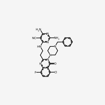 N#Cc1c(N)nc(N)nc1NCCc1nc2c(F)ccc(Cl)c2c(=O)n1N1CCN(Cc2ccccc2)CC1